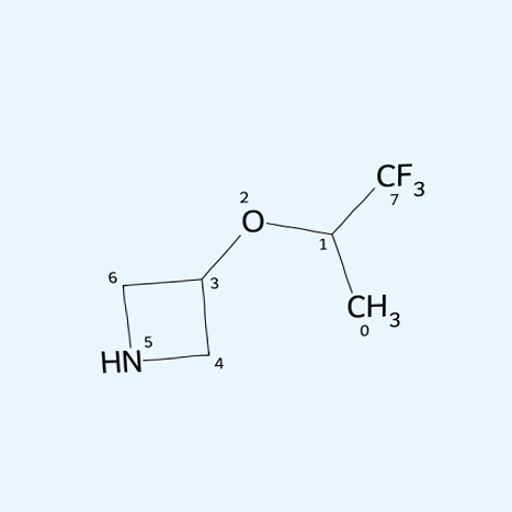 CC(OC1CNC1)C(F)(F)F